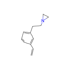 C=Cc1cccc(CCN2CC2)c1